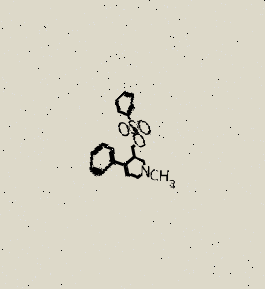 CN1CCC(c2ccccc2)C(COS(=O)(=O)c2ccccc2)C1